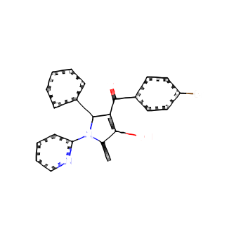 C=C1C(O)=C(C(=O)c2ccc(Br)cc2)C(c2ccccc2)N1c1ccccn1